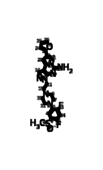 C[S@@+]([O-])c1cc(N2CCN(CCn3ncc4c3nc(N)n3nc(-c5ccco5)cc43)CC2)c(F)cc1F